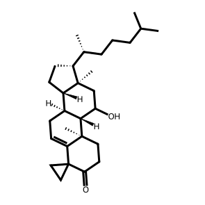 CC(C)CCC[C@@H](C)[C@H]1CC[C@H]2[C@@H]3CC=C4C5(CC5)C(=O)CC[C@]4(C)[C@H]3C(O)C[C@]12C